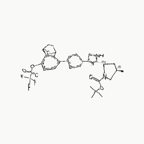 C[C@@H]1C[C@@H](c2nc(-c3ccc(-c4ccc(OS(=O)(=O)C(F)(F)F)c5c4C4CCC5CC4)cc3)c[nH]2)N(C(=O)OC(C)(C)C)C1